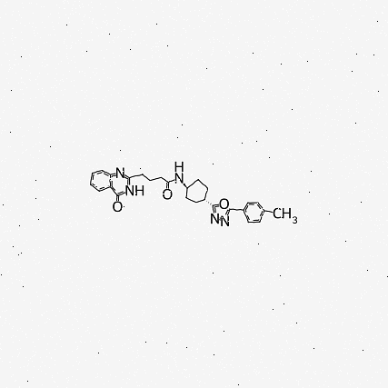 Cc1ccc(-c2nnc([C@H]3CC[C@H](NC(=O)CCCc4nc5ccccc5c(=O)[nH]4)CC3)o2)cc1